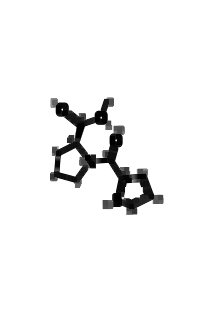 COC(=O)[C@@H]1CCCN1C(=O)c1cccs1